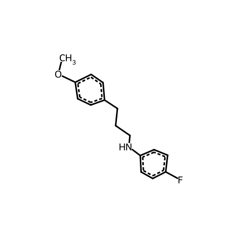 COc1ccc(CCCNc2ccc(F)cc2)cc1